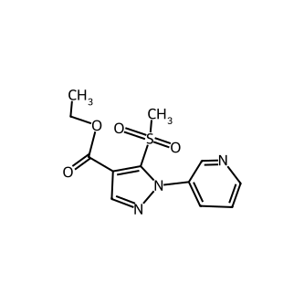 CCOC(=O)c1cnn(-c2cccnc2)c1S(C)(=O)=O